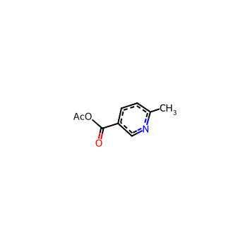 CC(=O)OC(=O)c1ccc(C)nc1